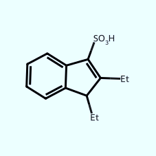 CCC1=C(S(=O)(=O)O)c2ccccc2C1CC